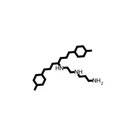 CC1CCC(CCCC(CCCC2CCC(C)CC2)NCCNCCCN)CC1